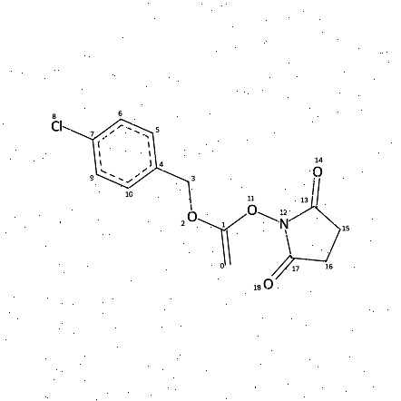 C=C(OCc1ccc(Cl)cc1)ON1C(=O)CCC1=O